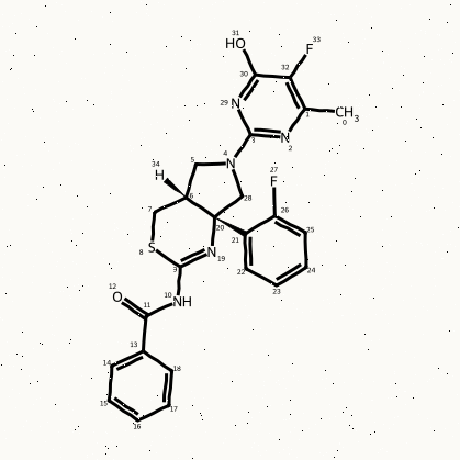 Cc1nc(N2C[C@H]3CSC(NC(=O)c4ccccc4)=N[C@@]3(c3ccccc3F)C2)nc(O)c1F